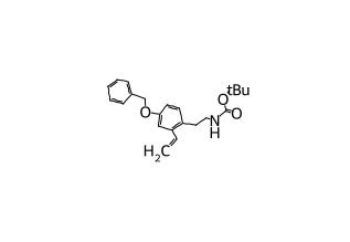 C=Cc1cc(OCc2ccccc2)ccc1CCNC(=O)OC(C)(C)C